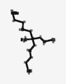 CCOCC(C)(COCCO)COCCOC